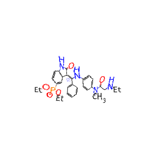 CCNCC(=O)N(C)c1ccc(N/C(=C2\C(=O)Nc3ccc(P(=O)(OCC)OCC)cc32)c2ccccc2)cc1